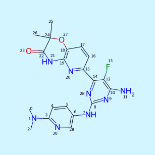 CN(C)c1ccc(Nc2nc(N)c(F)c(-c3ccc4c(n3)NC(=O)C(C)(C)O4)n2)cn1